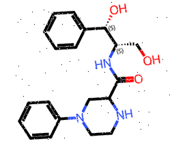 O=C(N[C@@H](CO)[C@@H](O)c1ccccc1)C1CN(c2ccccc2)CCN1